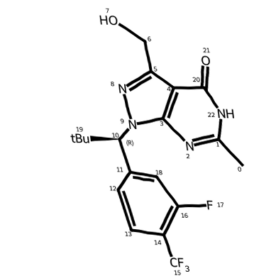 Cc1nc2c(c(CO)nn2[C@@H](c2ccc(C(F)(F)F)c(F)c2)C(C)(C)C)c(=O)[nH]1